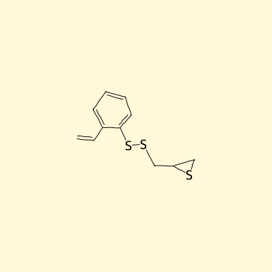 C=Cc1ccccc1SSCC1CS1